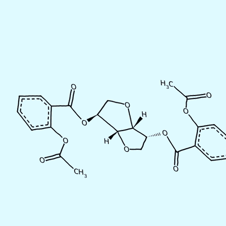 CC(=O)Oc1ccccc1C(=O)O[C@H]1CO[C@H]2[C@@H]1OC[C@H]2OC(=O)c1ccccc1OC(C)=O